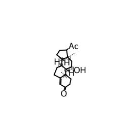 CC(=O)C1CC[C@H]2[C@@H]3CCC4=CC(=O)CC[C@]4(C)[C@H]3[C@@H](O)C[C@]12C